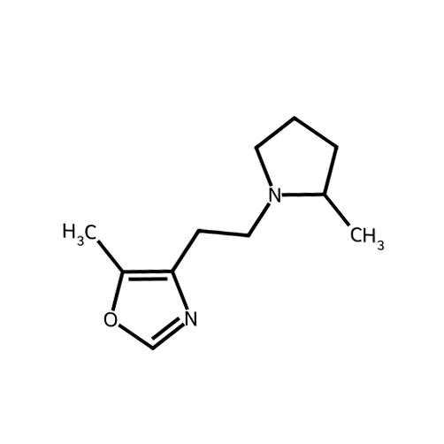 Cc1ocnc1CCN1CCCC1C